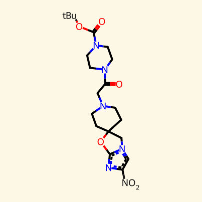 CC(C)(C)OC(=O)N1CCN(C(=O)CN2CCC3(CC2)Cn2cc([N+](=O)[O-])nc2O3)CC1